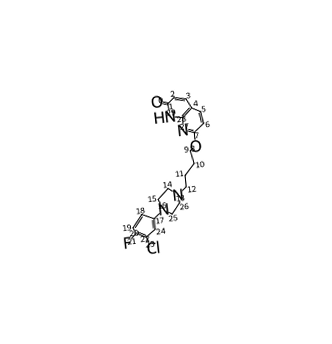 O=c1ccc2ccc(OCCCCN3CCN(c4ccc(F)c(Cl)c4)CC3)nc2[nH]1